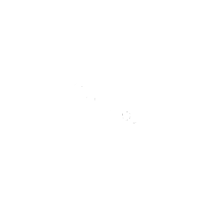 CC(C)C(=O)c1ccc2c(c1)CCN(C1CCC(CNC(=O)CCNC(=O)OC(C)(C)C)CC1)CC2